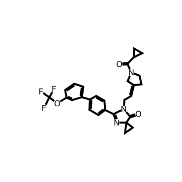 O=C(C1CC1)N1CC/C(=C/CN2C(=O)C3(CC3)N=C2c2ccc(-c3cccc(OC(F)(F)F)c3)cc2)C1